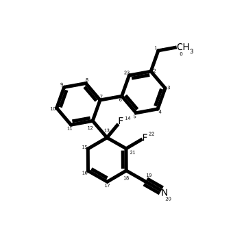 CCc1cccc(-c2ccccc2C2(F)CC=CC(C#N)=C2F)c1